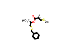 CC(=O)SC[C@H](C)C(=O)OC(CSCc1ccccc1)C(=O)O